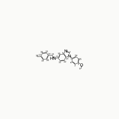 COc1ccc(-n2cnc3cc(NCc4ccc(C)cc4)ccc32)cc1